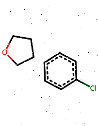 C1CCOC1.Clc1ccccc1